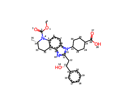 COC(=O)N1c2ccc3c(nc(C[C@@H](O)c4ccccc4)n3C3CCC(C(=O)O)CC3)c2CC[C@@H]1C